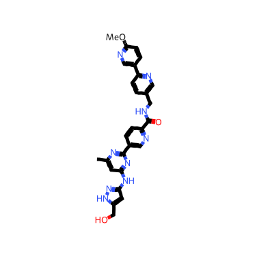 COc1ccc(-c2ccc(CNC(=O)c3ccc(-c4nc(C)cc(Nc5cc(CO)[nH]n5)n4)cn3)cn2)cn1